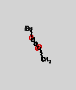 C=CCCCCCC1COC(c2ccc(-c3ccc(OCCCCCC(C)CC)cc3)cc2)OC1